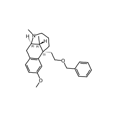 COc1ccc2c(c1)[C@]1(CCOCc3ccccc3)CCCN(C)[C@H](C2)[C@@H]1C